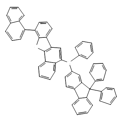 c1ccc(N(c2ccc3c(c2)C(c2ccccc2)(c2ccccc2)c2ccccc2-3)c2cc3c4cccc(-c5cccc6ccccc56)c4oc3c3ccccc23)cc1